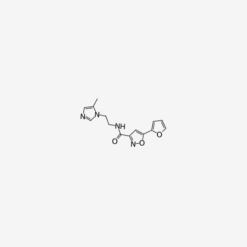 Cc1cncn1CCNC(=O)c1cc(-c2ccco2)on1